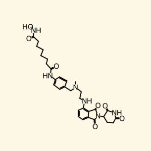 CN(CCNc1cccc2c1C(=O)N(C1CCC(=O)NC1=O)C2=O)Cc1ccc(NC(=O)CCCCCCC(=O)NO)cc1